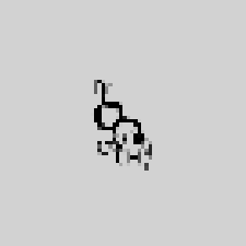 CS(=O)(=O)c1ccc(Br)cc1CC#N